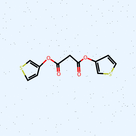 O=C(CC(=O)Oc1ccsc1)Oc1ccsc1